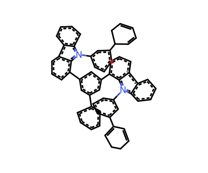 C1=CCC(c2cccc(-n3c4ccccc4c4cccc(-c5cc(-c6ccccc6)cc(-c6cccc7c8ccccc8n(-c8cccc(C9=CCCC=C9)c8)c67)c5)c43)c2)C=C1